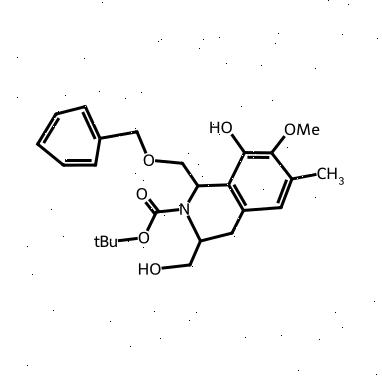 COc1c(C)cc2c(c1O)C(COCc1ccccc1)N(C(=O)OC(C)(C)C)C(CO)C2